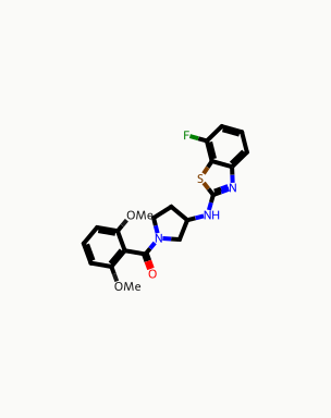 COc1cccc(OC)c1C(=O)N1CCC(Nc2nc3cccc(F)c3s2)C1